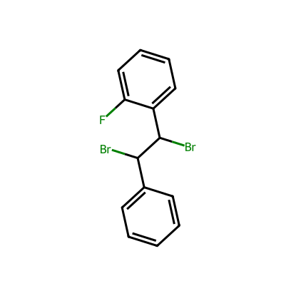 Fc1ccccc1C(Br)C(Br)c1ccccc1